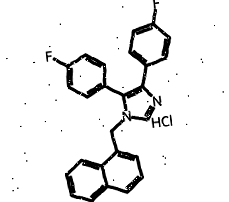 Cl.Fc1ccc(-c2ncn(Cc3cccc4ccccc34)c2-c2ccc(F)cc2)cc1